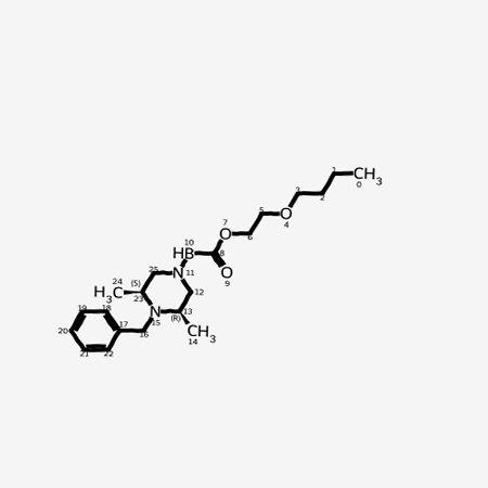 CCCCOCCOC(=O)BN1C[C@@H](C)N(Cc2ccccc2)[C@@H](C)C1